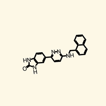 O=c1[nH]c2ccc(-c3ccc(NCc4cccc5ccccc45)nn3)cc2[nH]1